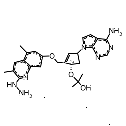 Cc1cc2c(C)cc(OCC3=CC(n4ccc5c(N)ncnc54)C[C@@H]3OC(C)(C)O)cc2nc1NN